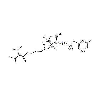 Cc1cccc(C[C@@H](O)/C=C/[C@@H]2[C@H]3CC(CCCCC(=O)N(C(C)C)C(C)C)=C[C@H]3C[C@H]2O)c1